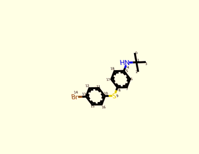 CC(C)(C)Nc1ccc(Sc2ccc(Br)cc2)cc1